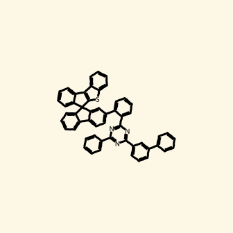 c1ccc(-c2cccc(-c3nc(-c4ccccc4)nc(-c4ccccc4-c4ccc5c(c4)C4(c6ccccc6-5)c5ccccc5-c5c4sc4ccccc54)n3)c2)cc1